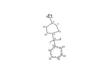 CCC1CCC(C(C)(C)c2ccccc2)CC1